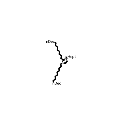 CCCCCCCCCCCCCCCCCCCn1cc[n+](CCCCCCC)c1CCCCCCCCCCCCCCCCCC